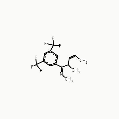 C/C=C\C(C)/C(=N\C)c1cc(C(F)(F)F)cc(C(F)(F)F)c1